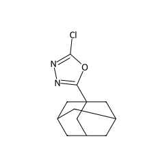 Clc1nnc(C23CC4CC(CC(C4)C2)C3)o1